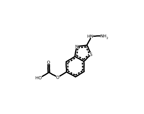 NNc1nc2cc(OC(=O)O)ccc2s1